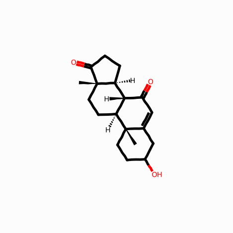 C[C@]12CCC(O)CC1=CC(=O)[C@@H]1[C@@H]2CC[C@]2(C)C(=O)CC[C@@H]12